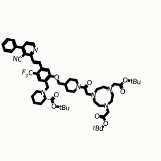 CC(C)(C)OC(=O)CN1CCN(CC(=O)OC(C)(C)C)CCN(CC(=O)N2CCC(COc3cc(/C=C/c4nccc(-c5ccccc5)c4C#N)c(C(F)(F)F)cc3CN3CCCC[C@H]3C(=O)OC(C)(C)C)CC2)CC1